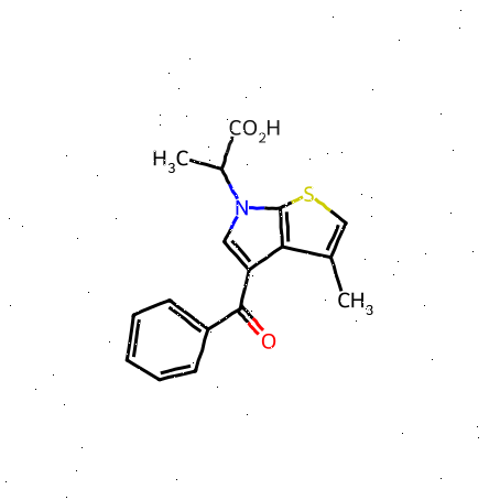 Cc1csc2c1c(C(=O)c1ccccc1)cn2C(C)C(=O)O